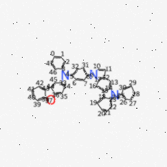 c1ccc(N(c2ccc(-n3ccc4cc5c(cc43)c3ccccc3n5-c3ccccc3)cc2)c2ccc3oc4ccccc4c3c2)cc1